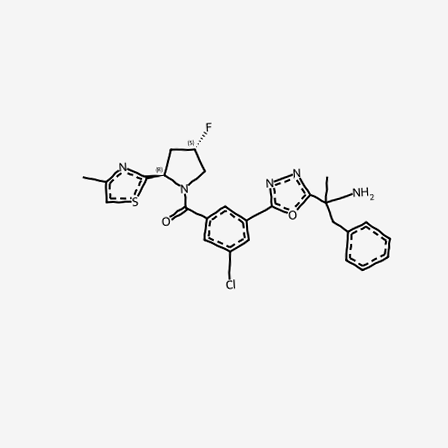 Cc1csc([C@H]2C[C@H](F)CN2C(=O)c2cc(Cl)cc(-c3nnc(C(C)(N)Cc4ccccc4)o3)c2)n1